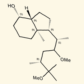 COC(C[C@@H](C)C(C)(C)OC)[C@@H](C)[C@H]1CC[C@H]2[C@@H](O)CCC[C@]12C